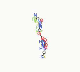 Cc1ncsc1-c1ccc(C(C)NC(=O)C2CCCN2C(=O)C(NC(=O)COCCCCOc2c(F)cc(-c3ncc(N4C(=S)N(c5ccc(C#N)c(C(F)(F)F)c5F)C(=O)C4(C)C)cc3F)cc2F)C(C)(C)C)cc1